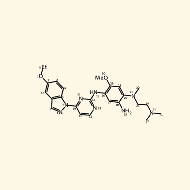 CCOc1ccc2c(cnn2-c2ccnc(Nc3cc(N)c(N(C)CCN(C)C)cc3OC)n2)c1